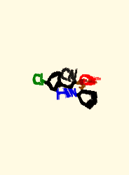 N#CC1C(c2ccc(Cl)cc2)Nc2ccccc2[S+]1[O-]